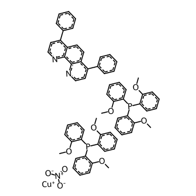 COc1ccccc1P(c1ccccc1OC)c1ccccc1OC.COc1ccccc1P(c1ccccc1OC)c1ccccc1OC.O=[N+]([O-])[O-].[Cu+].c1ccc(-c2ccnc3c2ccc2c(-c4ccccc4)ccnc23)cc1